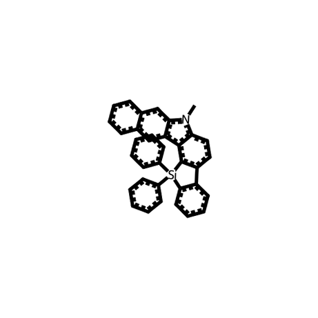 Cn1c2cc3ccccc3cc2c2c3c(ccc21)-c1ccccc1[Si]3(c1ccccc1)c1ccccc1